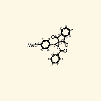 CSc1ccc([C@H]2[C@H](C(=O)c3ccccc3)C23C(=O)c2ccccc2C3=O)cc1